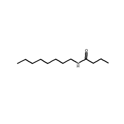 CCCCCCCCNC(=O)CCC